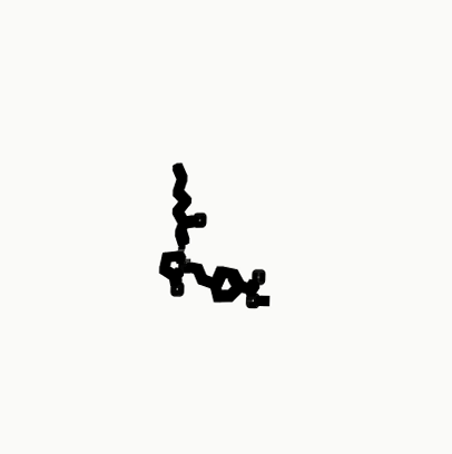 CCCCCC(=O)/C=C/[C@H]1CCC(=O)N1CCc1ccc(C(=O)OC)cc1